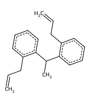 C=CCc1ccccc1C(C)c1ccccc1CC=C